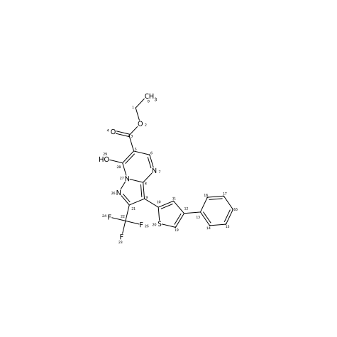 CCOC(=O)c1cnc2c(-c3cc(-c4ccccc4)cs3)c(C(F)(F)F)nn2c1O